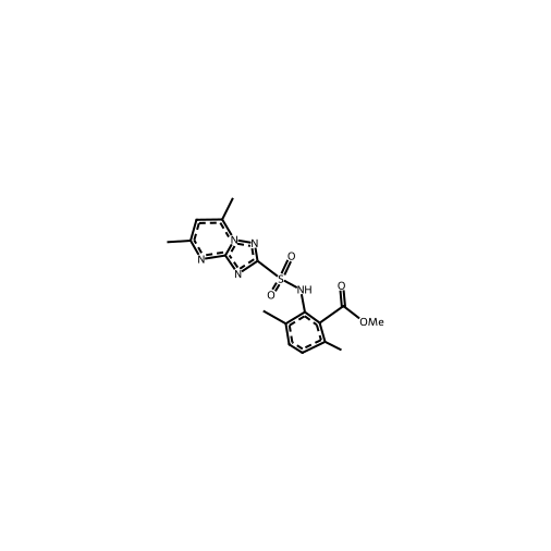 COC(=O)c1c(C)ccc(C)c1NS(=O)(=O)c1nc2nc(C)cc(C)n2n1